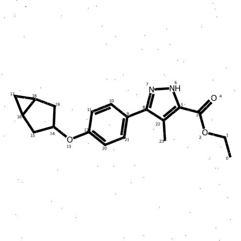 CCOC(=O)c1[nH]nc(-c2ccc(OC3CC4CC4C3)cc2)c1C